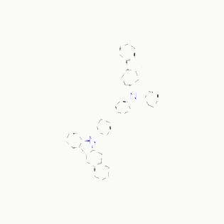 c1ccc(N(c2ccc(-c3ccc(-n4c5ccccc5c5cc6ccccc6cc54)cc3)cc2)c2ccc3c(c2)sc2ccccc23)cc1